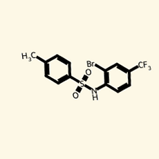 Cc1ccc(S(=O)(=O)Nc2ccc(C(F)(F)F)cc2Br)cc1